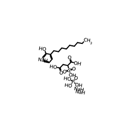 CCCCCCCCCc1ccccc1O.O=C(O)CC(C(=O)O)S(=O)(=O)O.O=P(O)(O)O.[NaH].[NaH].[NaH]